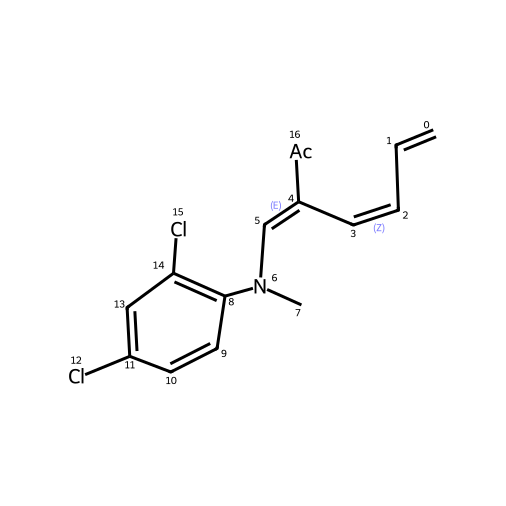 C=C/C=C\C(=C/N(C)c1ccc(Cl)cc1Cl)C(C)=O